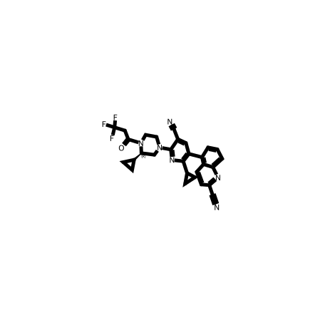 N#Cc1ccc2c(-c3cc(C#N)c(N4CCN(C(=O)CC(F)(F)F)[C@H](C5CC5)C4)nc3C3CC3)cccc2n1